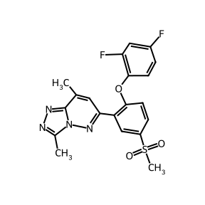 Cc1cc(-c2cc(S(C)(=O)=O)ccc2Oc2ccc(F)cc2F)nn2c(C)nnc12